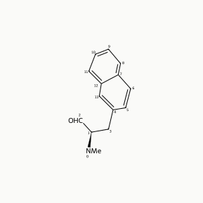 CN[C@@H](C=O)Cc1ccc2ccccc2c1